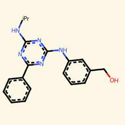 CC(C)Nc1nc(Nc2cccc(CO)c2)nc(-c2ccccc2)n1